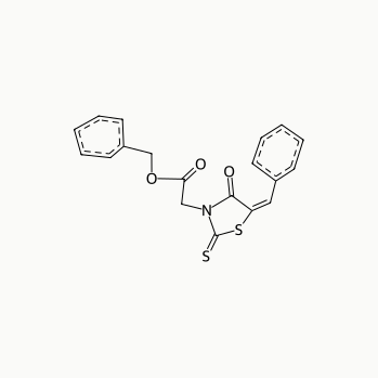 O=C(CN1C(=O)/C(=C\c2ccccc2)SC1=S)OCc1ccccc1